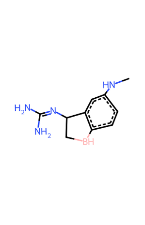 CNc1ccc2c(c1)C(N=C(N)N)CB2